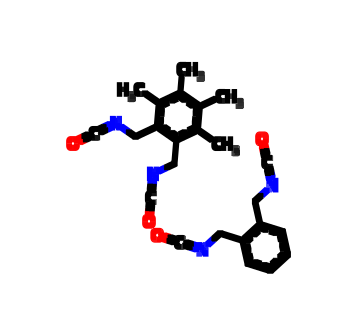 Cc1c(C)c(C)c(CN=C=O)c(CN=C=O)c1C.O=C=NCc1ccccc1CN=C=O